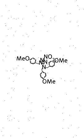 COc1ccc(CN(Cc2ccc(OC)cc2)c2nc([N+](=O)[O-])nn2Cc2ccc(OC)cc2)cc1